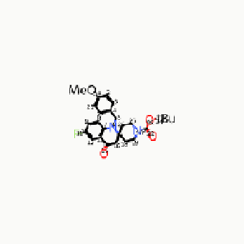 COc1ccc(CN2c3ccc(F)cc3C(=O)CC23CCN(C(=O)OC(C)(C)C)CC3)cc1